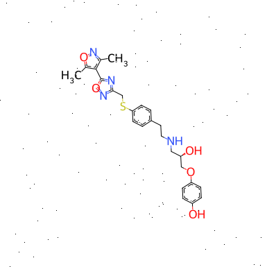 Cc1noc(C)c1-c1nc(CSc2ccc(CCNC[C@@H](O)COc3ccc(O)cc3)cc2)no1